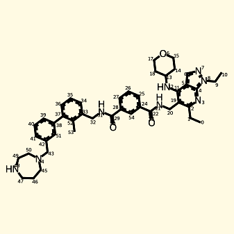 CCc1nc2c(cnn2CC)c(NC2CCOCC2)c1CNC(=O)c1cccc(C(=O)NCc2cccc(-c3cccc(CN4CCCNCC4)c3)c2C)c1